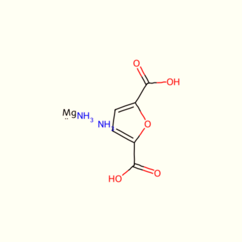 N.N.O=C(O)c1ccc(C(=O)O)o1.[Mg]